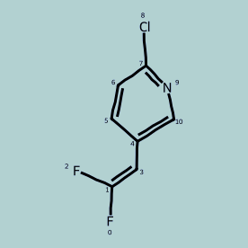 FC(F)=Cc1ccc(Cl)nc1